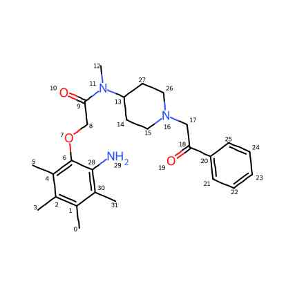 Cc1c(C)c(C)c(OCC(=O)N(C)C2CCN(CC(=O)c3ccccc3)CC2)c(N)c1C